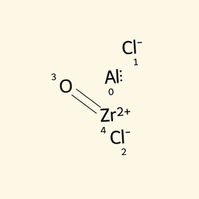 [Al].[Cl-].[Cl-].[O]=[Zr+2]